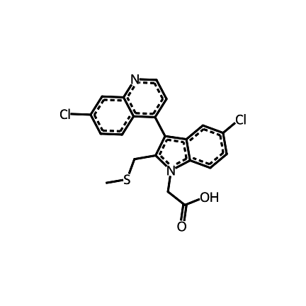 CSCc1c(-c2ccnc3cc(Cl)ccc23)c2cc(Cl)ccc2n1CC(=O)O